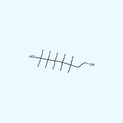 OCCC(F)(F)C(F)(F)C(F)(F)C(F)(F)C(O)(F)F